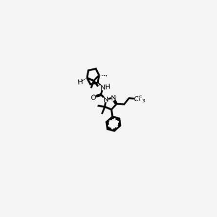 CC1(C)C(c2ccccc2)C(CCC(F)(F)F)=NN1C(=O)N[C@H]1C[C@H]2CC[C@]1(C)C2(C)C